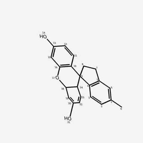 Cc1ccc2c(c1)CCC21c2ccc(O)cc2OC2C=C(O)C=CC21